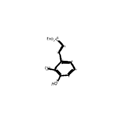 CCOC(=O)CCc1cccc(O)c1Cl